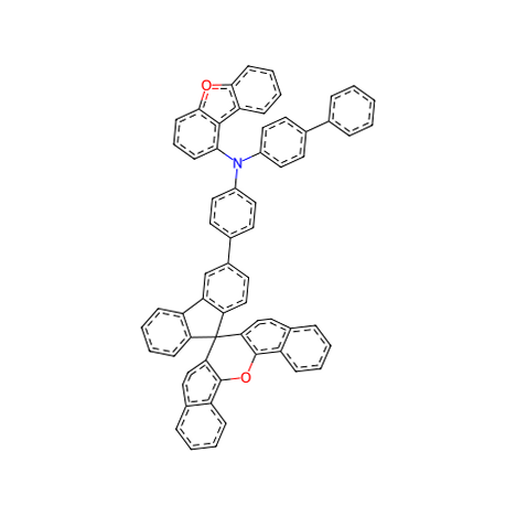 c1ccc(-c2ccc(N(c3ccc(-c4ccc5c(c4)-c4ccccc4C54c5ccc6ccccc6c5Oc5c4ccc4ccccc54)cc3)c3cccc4oc5ccccc5c34)cc2)cc1